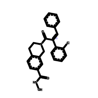 O=C(NO)c1ccc2c(c1)CN(C(=O)/C(=C\c1ccccc1)c1ccccc1Cl)CC2